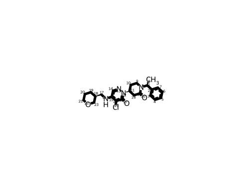 C[C@@H](c1ccccc1)N1CC[C@@H](n2ncc(NC[C@@H]3CCCOC3)c(Cl)c2=O)CC1=O